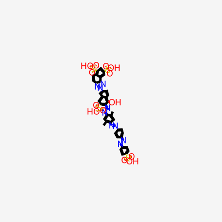 Cc1cc(N=Nc2c(S(=O)(=O)O)cc3cc(-n4nc5ccc6c(S(=O)(=O)O)cc(S(=O)(=O)O)cc6c5n4)ccc3c2O)c(C)cc1N=Nc1ccc(N=Nc2ccc(S(=O)(=O)O)cc2)cc1